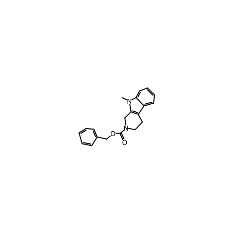 Cn1c2c(c3ccccc31)CCN(C(=O)OCc1ccccc1)C2